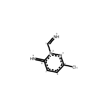 N=Cn1nc(Cl)ccc1=N